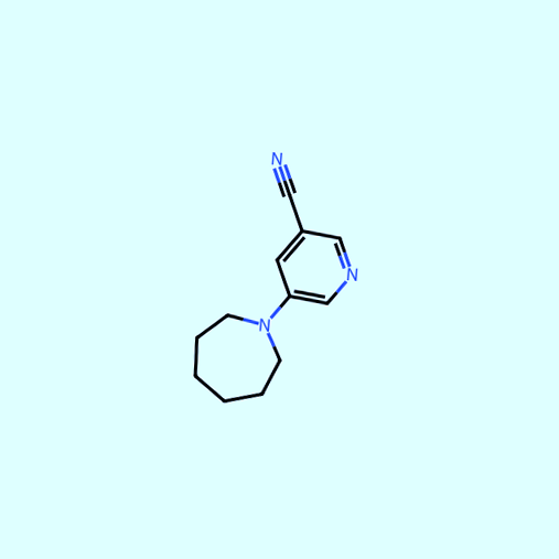 N#Cc1cncc(N2CCCCCC2)c1